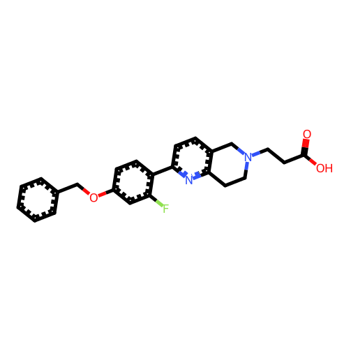 O=C(O)CCN1CCc2nc(-c3ccc(OCc4ccccc4)cc3F)ccc2C1